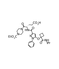 CCOC(=O)N1CCN(C(=O)[C@H](CCC(=O)O)NC(=O)c2cc(OC3(C(=O)NC(C)C)CCC3)n(-c3ccccc3)n2)CC1